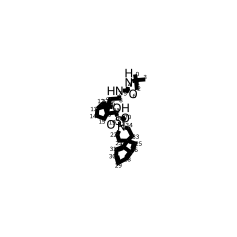 CC(C)(C)NC(=O)NCCC1(O)CC2CCC1(CS(=O)(=O)N1CCC3(C=Cc4ccccc43)CC1)C2(C)C